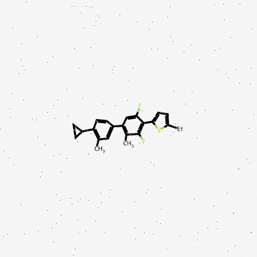 CCc1ccc(-c2c(F)cc(-c3ccc(C4CC4)c(C)c3)c(C)c2F)s1